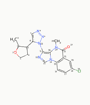 CC1OCCC1c1cnnn1-c1ncn2c3ccc(Cl)cc3c(=O)n(C)c12